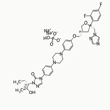 CC[C@@H]([C@H](C)O)n1ncn(-c2ccc(N3CCN(c4ccc(OC[C@@H]5CO[C@@](Cn6cncn6)(c6ccc(F)cc6F)C5)cc4)CC3)cc2)c1=O.O=P([O-])([O-])O.[Na+].[Na+]